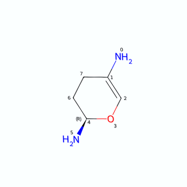 NC1=CO[C@@H](N)CC1